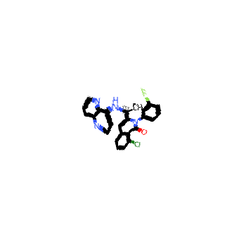 C[C@H](Nc1ccnc2cccnc12)c1cc2cccc(Cl)c2c(=O)n1-c1cccc(F)c1